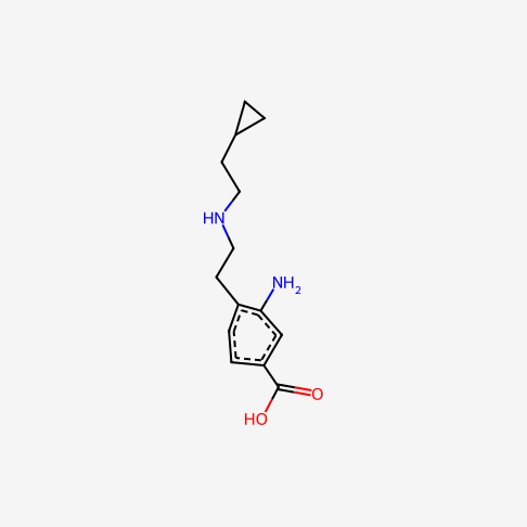 Nc1cc(C(=O)O)ccc1CCNCCC1CC1